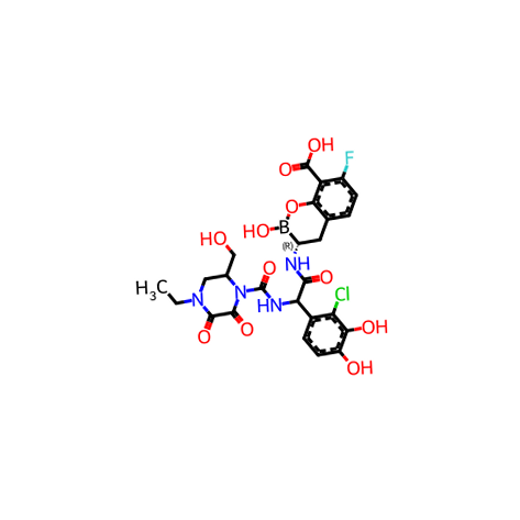 CCN1CC(CO)N(C(=O)NC(C(=O)N[C@H]2Cc3ccc(F)c(C(=O)O)c3OB2O)c2ccc(O)c(O)c2Cl)C(=O)C1=O